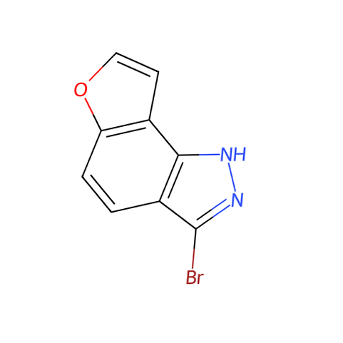 Brc1n[nH]c2c1ccc1occc12